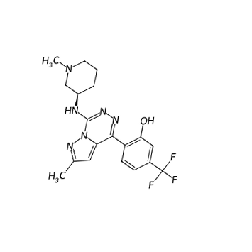 Cc1cc2c(-c3ccc(C(F)(F)F)cc3O)nnc(N[C@@H]3CCCN(C)C3)n2n1